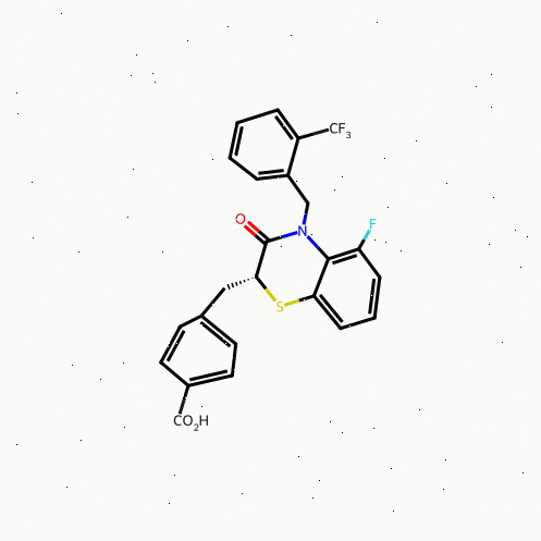 O=C(O)c1ccc(C[C@H]2Sc3cccc(F)c3N(Cc3ccccc3C(F)(F)F)C2=O)cc1